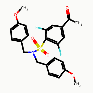 COc1ccc(CN(Cc2ccc(OC)cc2)S(=O)(=O)c2c(F)cc(C(C)=O)cc2F)cc1